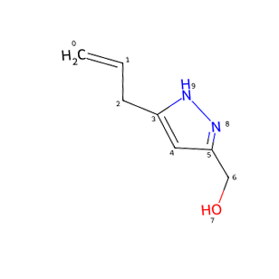 C=CCc1cc(CO)n[nH]1